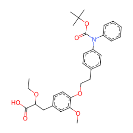 CCOC(Cc1ccc(OCCc2ccc(N(C(=O)OC(C)(C)C)c3ccccc3)cc2)c(OC)c1)C(=O)O